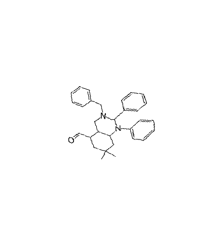 CC1(C)CC(C=O)C2CN(Cc3ccccc3)C(c3ccccc3)N(c3ccccc3)C2C1